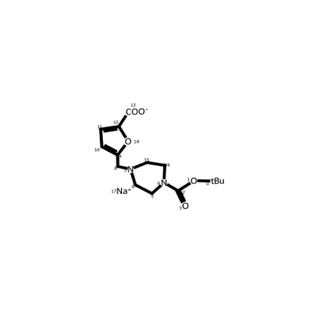 CC(C)(C)OC(=O)N1CCN(Cc2ccc(C(=O)[O-])o2)CC1.[Na+]